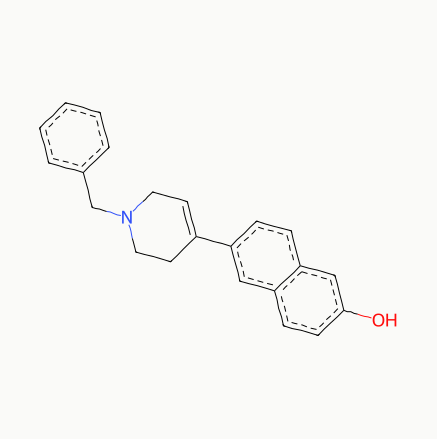 Oc1ccc2cc(C3=CCN(Cc4ccccc4)CC3)ccc2c1